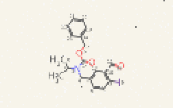 CC(C)N(Cc1ccc(I)c(C=O)c1)C(=O)OCc1ccccc1